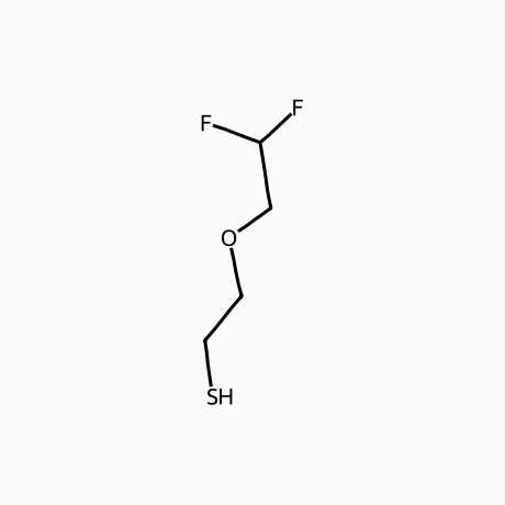 FC(F)COCCS